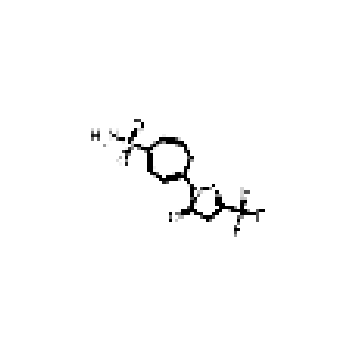 NS(=O)(=O)C1=CC=C(N2N=C(C(F)(F)F)CC2=O)CC=C1